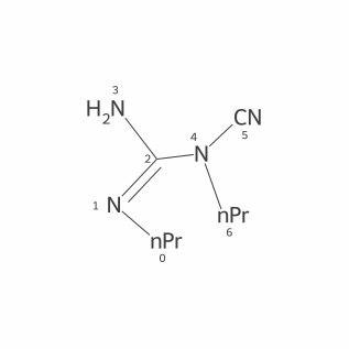 CCCN=C(N)N(C#N)CCC